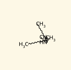 CCCCCCCCCCCCC(CCC)c1[nH]cc[n+]1C(C)CCCCCCCCCCCC